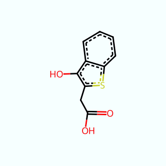 O=C(O)Cc1sc2ccccc2c1O